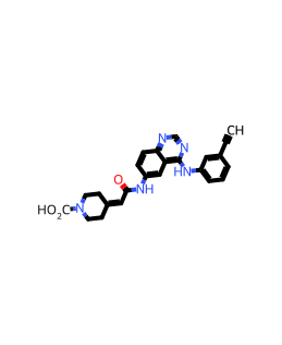 C#Cc1cccc(Nc2ncnc3ccc(NC(=O)C=C4CCN(C(=O)O)CC4)cc23)c1